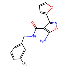 Cc1cccc(CNC(=O)c2c(-c3ccco3)noc2N)c1